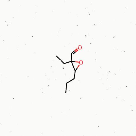 CCCC1OC1(C=O)CC